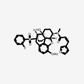 COc1ccc2c3c1O[C@H]1[C@H](N(C)C(=O)/C=C\c4ccoc4)CC[C@@]4(O)[C@@H](C2)N(S(=O)(=O)c2ccccc2F)CC[C@]314